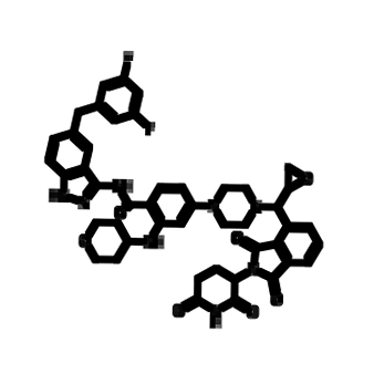 O=C1CCC(N2C(=O)c3cccc(C(C4CO4)N4CCN(c5ccc(C(=O)Nc6n[nH]c7ccc(Cc8cc(F)cc(F)c8)cc67)c(NC6CCOCC6)c5)CC4)c3C2=O)C(=O)N1